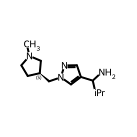 CC(C)C(N)c1cnn(C[C@H]2CCN(C)C2)c1